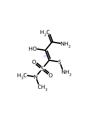 C=C(N)/C(O)=C(\SN)S(=O)(=O)N(C)C